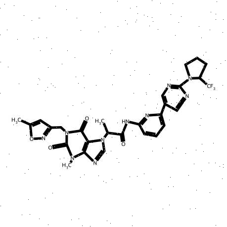 Cc1cc(Cn2c(=O)c3c(ncn3C(C)C(=O)Nc3cccc(-c4cnc(N5CCCC5C(F)(F)F)nc4)n3)n(C)c2=O)no1